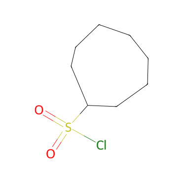 O=S(=O)(Cl)C1CCCCCCC1